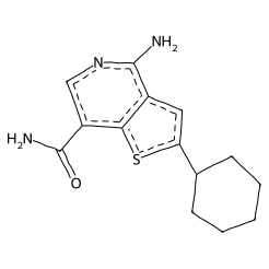 NC(=O)c1cnc(N)c2cc(C3CCCCC3)sc12